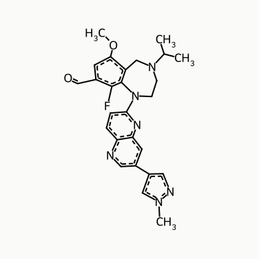 COc1cc(C=O)c(F)c2c1CN(C(C)C)CCN2c1ccc2ncc(-c3cnn(C)c3)cc2n1